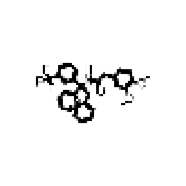 COc1ccc(CC(=O)NC(Cc2ccccc2)(c2cccc(C(F)(F)F)c2)c2ccccn2)cc1OC